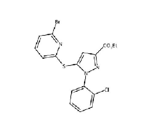 CCOC(=O)c1cc(Sc2cccc(Br)n2)n(-c2ccccc2Cl)n1